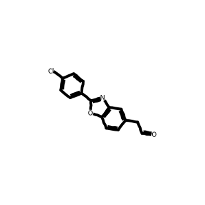 O=CCc1ccc2oc(-c3ccc(Cl)cc3)nc2c1